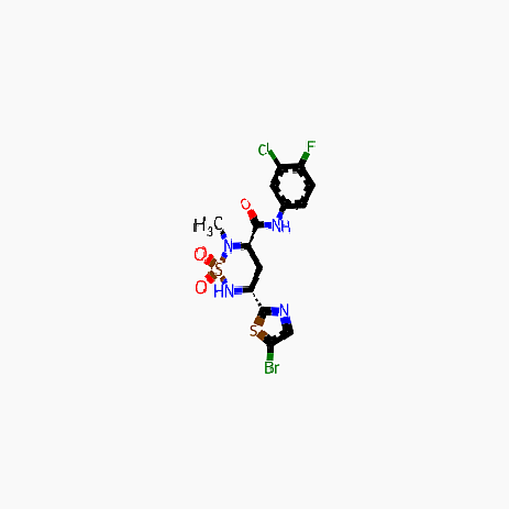 CN1[C@@H](C(=O)Nc2ccc(F)c(Cl)c2)C[C@H](c2ncc(Br)s2)NS1(=O)=O